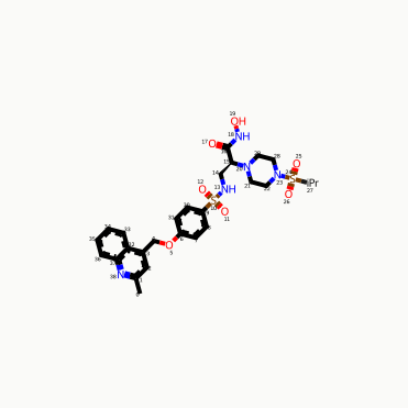 Cc1cc(COc2ccc(S(=O)(=O)NC[C@@H](C(=O)NO)N3CCN(S(=O)(=O)C(C)C)CC3)cc2)c2ccccc2n1